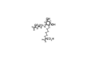 O=C(O)C1(CCCCCCc2c(O)cc(O)cc2CCCCCC2(C(=O)O)CC2)CC1